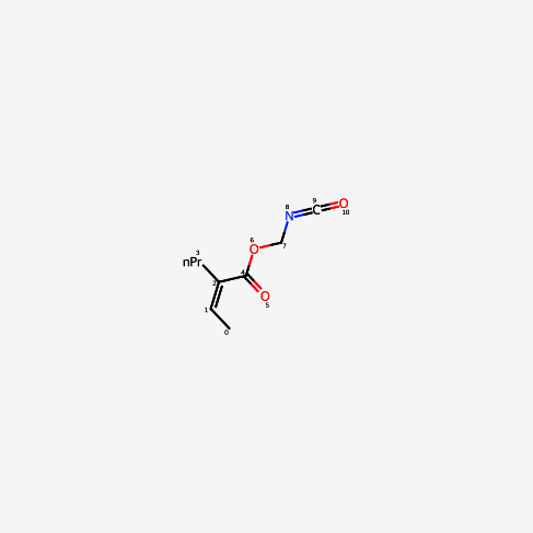 CC=C(CCC)C(=O)OCN=C=O